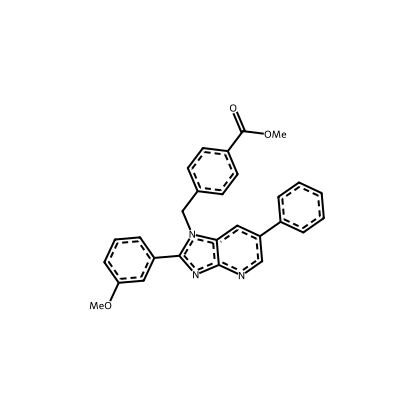 COC(=O)c1ccc(Cn2c(-c3cccc(OC)c3)nc3ncc(-c4ccccc4)cc32)cc1